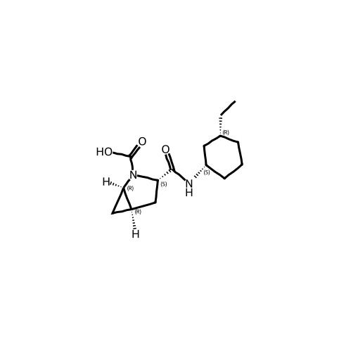 CC[C@@H]1CCC[C@H](NC(=O)[C@@H]2C[C@H]3C[C@H]3N2C(=O)O)C1